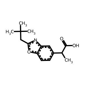 CC(C(=O)O)c1ccc2oc(CC(C)(C)C)nc2c1